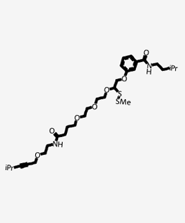 CSSC(COc1cccc(C(=O)NCCC(C)C)c1)OCCOCCOCCCC(=O)NCCOCC#CC(C)C